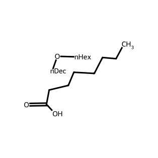 CCCCCCCC(=O)O.CCCCCCCCCCOCCCCCC